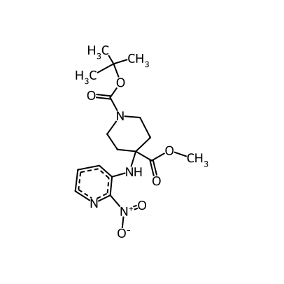 COC(=O)C1(Nc2cccnc2[N+](=O)[O-])CCN(C(=O)OC(C)(C)C)CC1